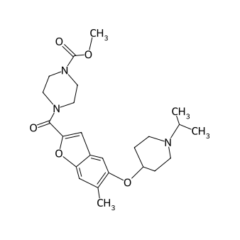 COC(=O)N1CCN(C(=O)c2cc3cc(OC4CCN(C(C)C)CC4)c(C)cc3o2)CC1